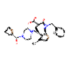 Cc1csc2c1c(N1CCN(C(=O)c3cccs3)CC1)c(C(=O)O)c(=O)n2Cc1ccccc1